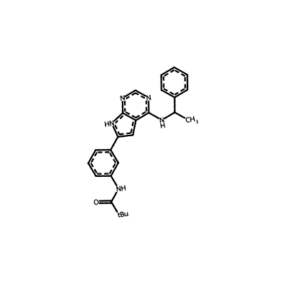 CC(Nc1ncnc2[nH]c(-c3cccc(NC(=O)C(C)(C)C)c3)cc12)c1ccccc1